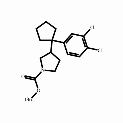 CC(C)(C)OC(=O)N1CCC(C2(c3ccc(Cl)c(Cl)c3)CCCC2)C1